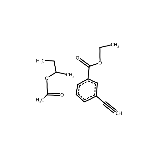 C#Cc1cccc(C(=O)OCC)c1.CCC(C)OC(C)=O